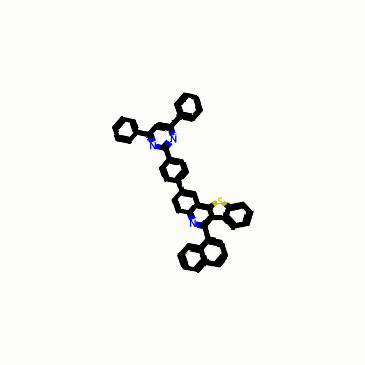 c1ccc(-c2cc(-c3ccccc3)nc(-c3ccc(-c4ccc5nc(-c6cccc7ccccc67)c6c7ccccc7sc6c5c4)cc3)n2)cc1